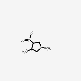 CC1CN(C)CC1[N+](=O)[O-]